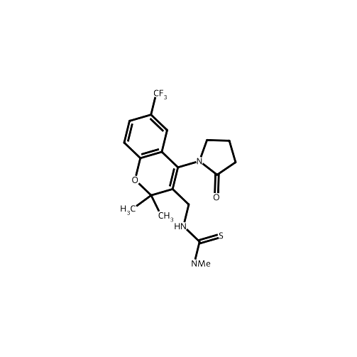 CNC(=S)NCC1=C(N2CCCC2=O)c2cc(C(F)(F)F)ccc2OC1(C)C